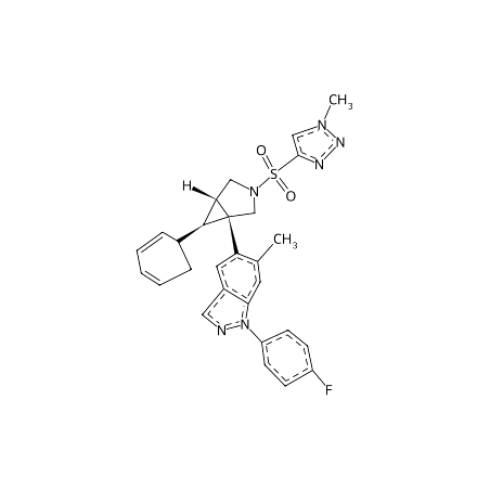 Cc1cc2c(cnn2-c2ccc(F)cc2)cc1[C@]12CN(S(=O)(=O)c3cn(C)nn3)C[C@H]1[C@@H]2C1C=CC=CC1